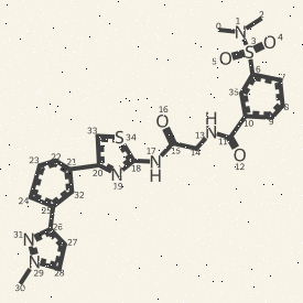 CN(C)S(=O)(=O)c1cccc(C(=O)NCC(=O)Nc2nc(-c3cccc(-c4ccn(C)n4)c3)cs2)c1